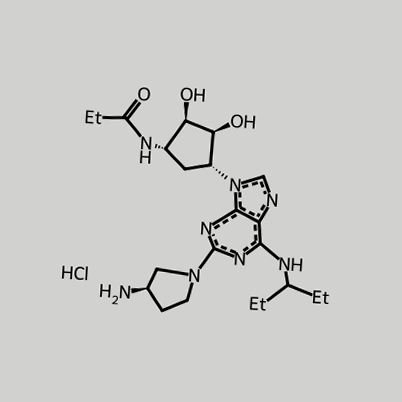 CCC(=O)N[C@H]1C[C@@H](n2cnc3c(NC(CC)CC)nc(N4CC[C@@H](N)C4)nc32)[C@H](O)[C@@H]1O.Cl